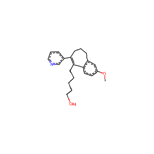 COc1ccc2c(c1)CCCC(c1cccnc1)=C2CCCCCO